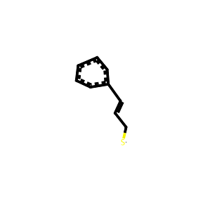 [S]CC=Cc1ccccc1